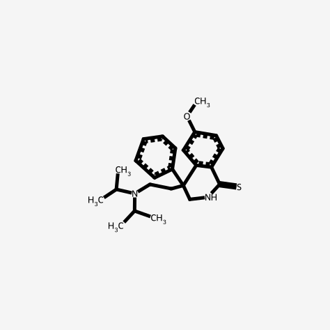 COc1ccc2c(c1)C(CCN(C(C)C)C(C)C)(c1ccccc1)CNC2=S